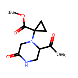 COC(=O)C1CNC(=O)CN1C1(C(=O)OC(C)(C)C)CC1